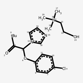 CC(C)(C)C(=O)C(Oc1ccc(Cl)cc1)n1ccnc1.C[N+](C)(C)CCO